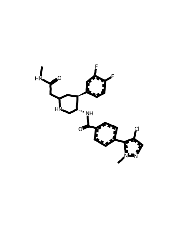 CNC(=O)CC1C[C@@H](c2ccc(F)c(F)c2)[C@H](NC(=O)c2ccc(-c3c(Cl)cnn3C)cc2)CN1